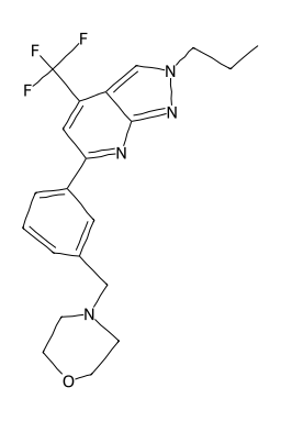 CCCn1cc2c(C(F)(F)F)cc(-c3cccc(CN4CCOCC4)c3)nc2n1